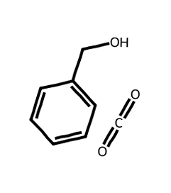 O=C=O.OCc1ccccc1